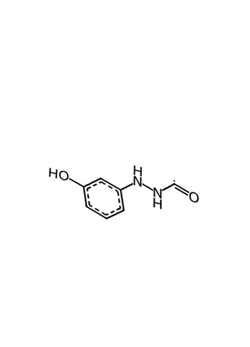 O=[C]NNc1cccc(O)c1